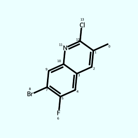 Cc1cc2cc(F)c(Br)cc2nc1Cl